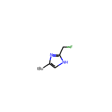 CC(C)(C)c1c[nH]c(CF)n1